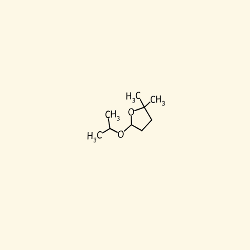 CC(C)OC1CCC(C)(C)O1